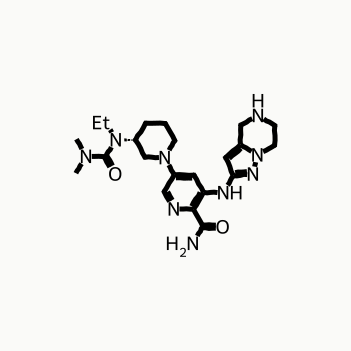 CCN(C(=O)N(C)C)[C@@H]1CCCN(c2cnc(C(N)=O)c(Nc3cc4n(n3)CCNC4)c2)C1